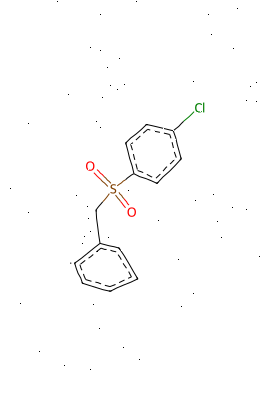 O=S(=O)(Cc1[c]cccc1)c1ccc(Cl)cc1